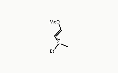 CC[SiH](C)C=COC